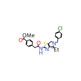 CC[C@H]1c2nc(NC(=O)Cc3ccc(C(=O)OC)cc3)sc2CN1Cc1ccc(Cl)cc1